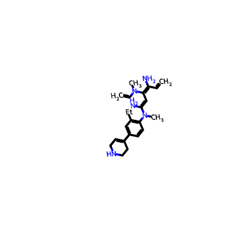 C=C/C(N)=C(\C=C(/N)N(C)c1ccc(C2=CCNCC2)cc1CC)N(C)C=C